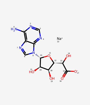 Nc1ncnc2c1ncn2[C@@H]1O[C@H](C(O)C(=O)[O-])[C@@H](O)[C@H]1O.[Na+]